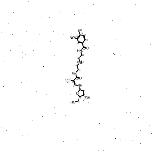 C/C(=C/N[C@H]1C[C@H](O)[C@@H](CO)O1)C(=O)NCCNCCNC(=O)c1ccc(F)c(C#N)c1